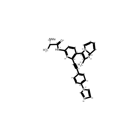 CN[C@@H](C)C(=O)Nc1ccc(-c2c(C)nc3ccccn23)c(C#Cc2ccc(-n3ccnc3)cc2)n1